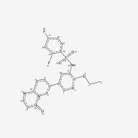 CCOc1ncc(-c2ccc3nccc(=O)n3c2)cc1NS(=O)(=O)c1ccc(F)cc1F